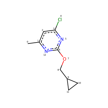 Cc1cc(Cl)nc(OCC2CC2)n1